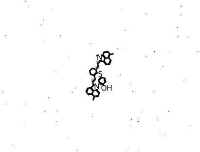 Cc1ccc2c3c(cccc13)C(/C=C/C1=C(Sc3ccc(O)cc3)C(=C/C=c3\c4cccc5c(C)ccc(c54)n3C)/CCC1)=[N+]2C